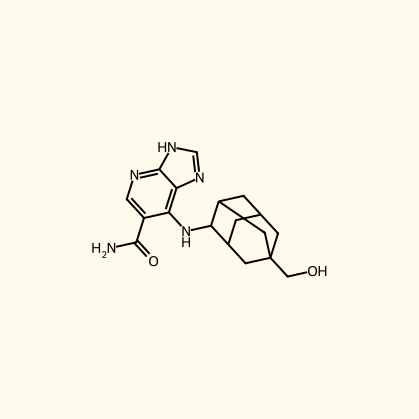 NC(=O)c1cnc2[nH]cnc2c1NC1C2CC3CC1CC(CO)(C3)C2